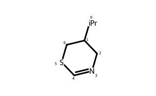 CC(C)C1CN=CSC1